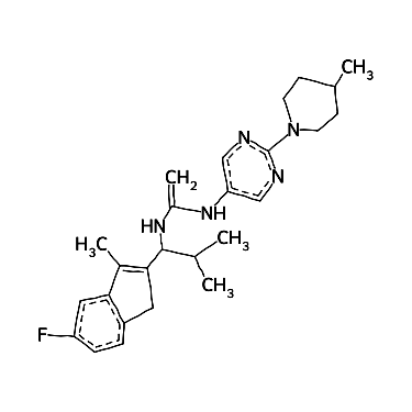 C=C(Nc1cnc(N2CCC(C)CC2)nc1)NC(C1=C(C)c2cc(F)ccc2C1)C(C)C